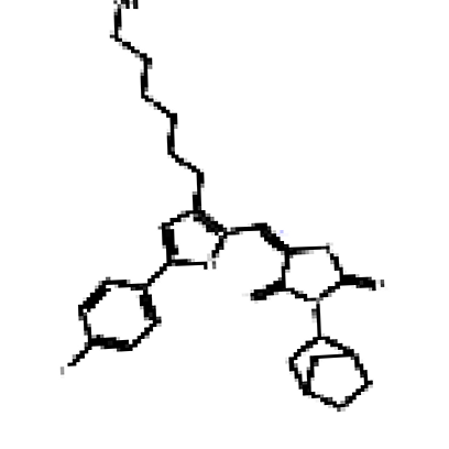 O=C1/C(=C\c2oc(-c3ccc(F)cc3)cc2CCCCCCO)SC(=S)N1C1CC2CCC1C2